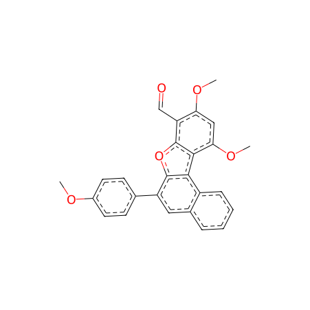 COc1ccc(-c2cc3ccccc3c3c2oc2c(C=O)c(OC)cc(OC)c23)cc1